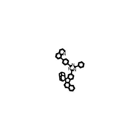 c1ccc(-c2nc(-c3ccc(-c4cccc5cccnc45)cc3)nc(-c3ccc4c(c3)C3(c5ccc6ccccc6c5-4)C4CC5CC(C4)CC3C5)n2)cc1